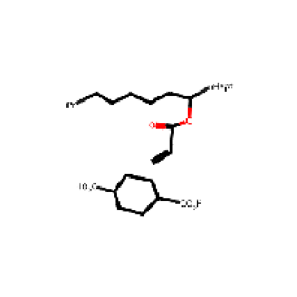 C=CC(=O)OC(CCCCCCC)CCCCCC(C)C.O=C(O)C1CCC(C(=O)O)CC1